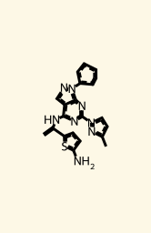 C=C(Nc1nc(-n2ccc(C)n2)nc2c1cnn2-c1ccccc1)c1ccc(N)s1